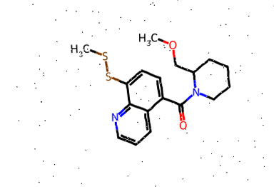 COCC1CCCCN1C(=O)c1ccc(SSC)c2ncccc12